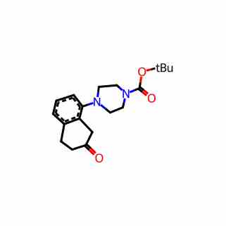 CC(C)(C)OC(=O)N1CCN(c2cccc3c2CC(=O)CC3)CC1